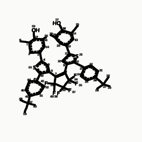 Cc1cc(-c2cc(C3=C(c4cc(-c5cc(C)c(O)c(C)c5)sc4-c4ccc(C(C)(C)C)cc4)C(F)(F)C(F)(F)C3(F)F)c(-c3ccc(C(C)(C)C)cc3)s2)cc(C)c1O